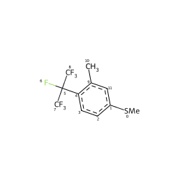 CSc1ccc(C(F)(C(F)(F)F)C(F)(F)F)c(C)c1